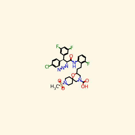 CS(=O)(=O)N1CCC2(CC1)CN(C(=O)O)CC(CCc1c(F)cccc1NC(=O)[C@@H](N=[N+]=[N-])[C@@H](c1ccc(Cl)cc1)c1cc(F)cc(F)c1)O2